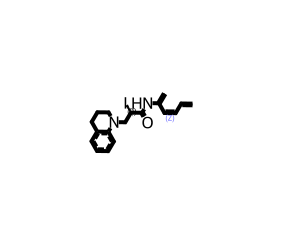 C=C/C=C\C(=C)NC(=O)[C@H](I)CN1CCCc2ccccc21